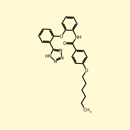 CCCCCCOc1ccc(C(=O)Nc2ccccc2Oc2ccccc2-c2nnn[nH]2)cc1